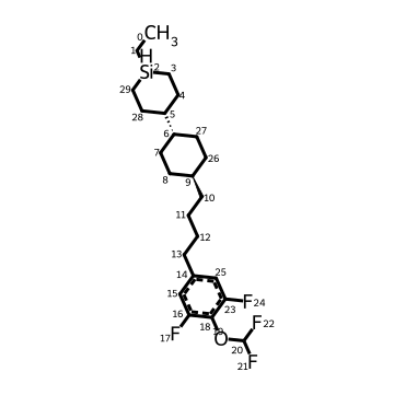 CC[SiH]1CCC([C@H]2CC[C@H](CCCCc3cc(F)c(OC(F)F)c(F)c3)CC2)CC1